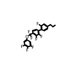 CCCc1ccc(-c2ccc(C(F)(F)Oc3cc(F)c(F)c(F)c3)c(F)c2F)c(F)c1